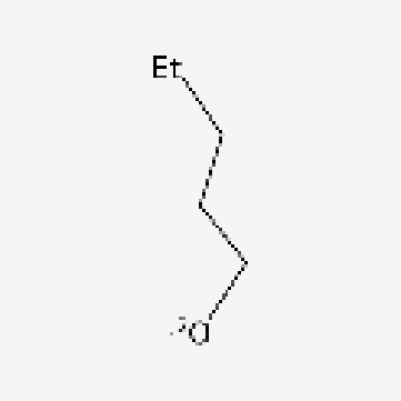 CCCCC[2O]